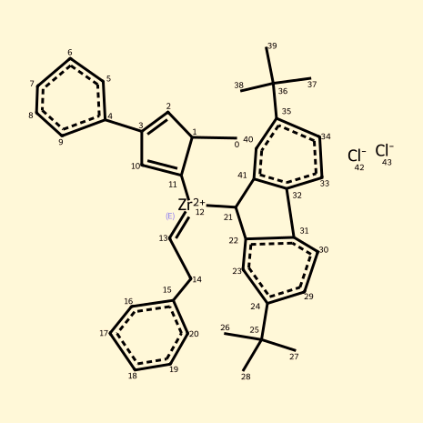 CC1C=C(c2ccccc2)C=[C]1/[Zr+2](=[CH]/Cc1ccccc1)[CH]1c2cc(C(C)(C)C)ccc2-c2ccc(C(C)(C)C)cc21.[Cl-].[Cl-]